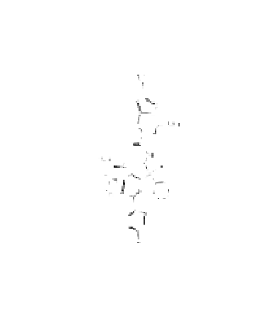 COc1cc(C(=O)NCC(O)(c2cc3c(c(-c4ccc(F)cc4)n2)OC[C@]3(C)C(N)=O)C2CCCC2)cc2cc(C3CC3)nn12